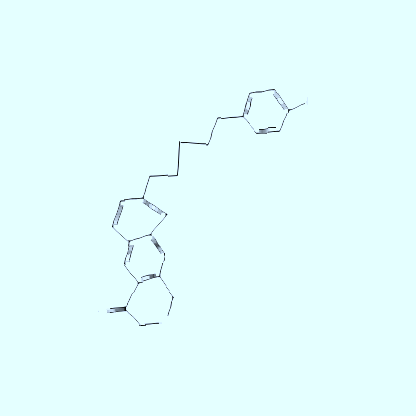 CCc1ccc(CCCCCc2ccc3cc4c(cc3c2)COCC4=O)cc1